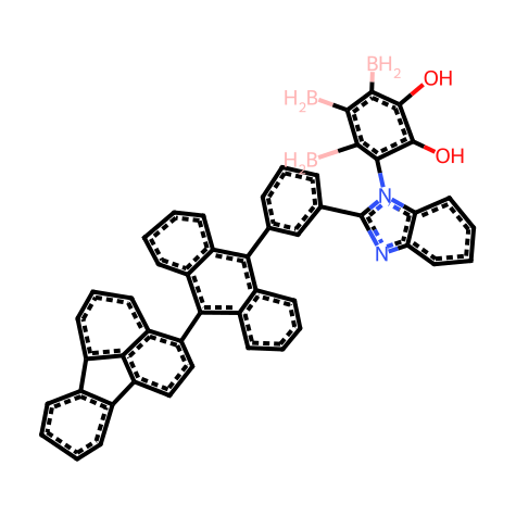 Bc1c(B)c(O)c(O)c(-n2c(-c3cccc(-c4c5ccccc5c(-c5ccc6c7c(cccc57)-c5ccccc5-6)c5ccccc45)c3)nc3ccccc32)c1B